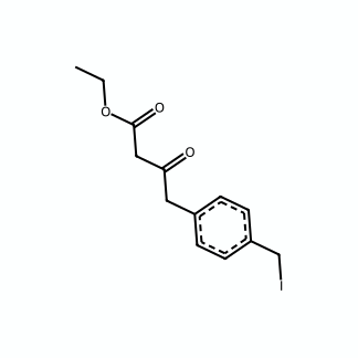 CCOC(=O)CC(=O)Cc1ccc(CI)cc1